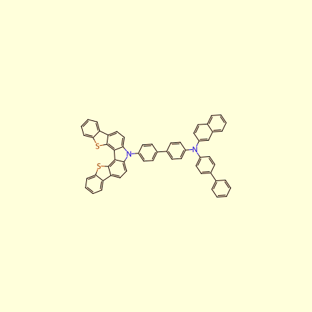 c1ccc(-c2ccc(N(c3ccc(-c4ccc(-n5c6ccc7c8ccccc8sc7c6c6c7sc8ccccc8c7ccc65)cc4)cc3)c3ccc4ccccc4c3)cc2)cc1